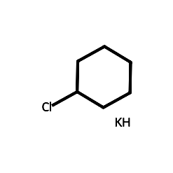 ClC1CCCCC1.[KH]